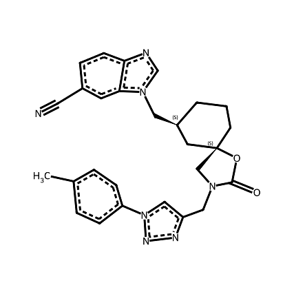 Cc1ccc(-n2cc(CN3C[C@@]4(CCC[C@H](Cn5cnc6ccc(C#N)cc65)C4)OC3=O)nn2)cc1